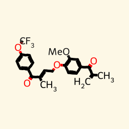 C=C(C)C(=O)c1ccc(OC/C=C(\C)C(=O)c2ccc(OC(F)(F)F)cc2)c(OC)c1